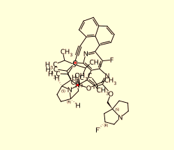 CC1Oc2nc(-c3cccc4cccc(C#CS(C(C)C)(C(C)C)C(C)C)c34)c(F)c3nc(OC[C@@]45CCCN4C[C@H](F)C5)nc(c23)N2C[C@H]3CC[C@@H](C12)N3C(=O)OC(C)(C)C